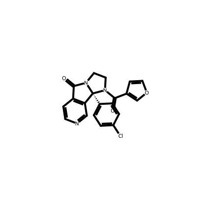 O=C(c1ccoc1)N1CCN2C(=O)c3ccncc3[C@]12c1ccc(Cl)cc1